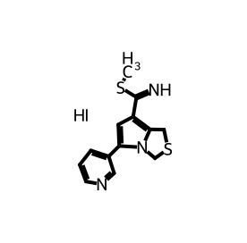 CSC(=N)c1cc(-c2cccnc2)n2c1CSC2.I